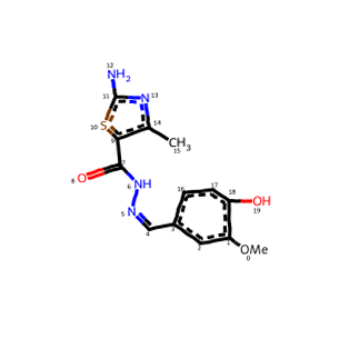 COc1cc(/C=N\NC(=O)c2sc(N)nc2C)ccc1O